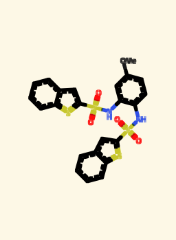 COc1ccc(NS(=O)(=O)c2cc3ccccc3s2)c(NS(=O)(=O)c2cc3ccccc3s2)c1